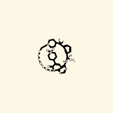 C[C@H]1Nc2ncnc3c2cc(C2CCS(=O)(=O)CC2)c(=O)n3CCCOCCCCN2CCC(CC2)C(F)(F)c2cccc1c2